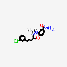 CN1CC(CCCc2cccc(Cl)c2)COc2ccc(C(N)=O)cc21